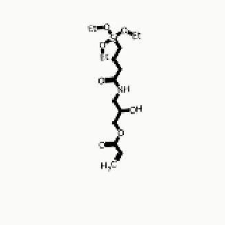 C=CC(=O)OCC(O)CNC(=O)CCC[Si](OCC)(OCC)OCC